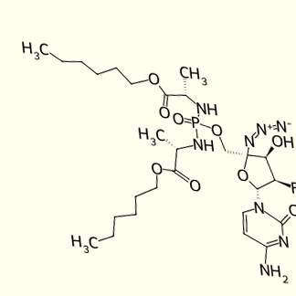 CCCCCCOC(=O)[C@H](C)NP(=O)(N[C@@H](C)C(=O)OCCCCCC)OC[C@@]1(N=[N+]=[N-])O[C@@H](n2ccc(N)nc2=O)[C@H](F)[C@@H]1O